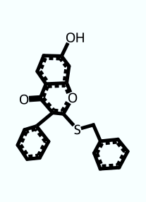 O=c1c(-c2ccccc2)c(SCc2ccccc2)oc2cc(O)ccc12